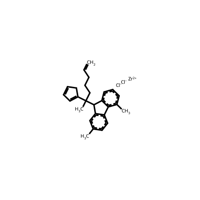 C=CCCCC(C)(C1=CC=CC1)C1c2cc(C)ccc2-c2c(C)cccc21.[Cl-].[Cl-].[Zr+2]